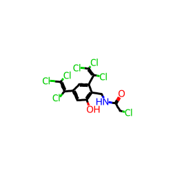 O=C(CCl)NCc1c(O)cc(C(Cl)=C(Cl)Cl)cc1C(Cl)=C(Cl)Cl